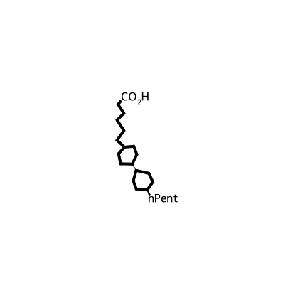 CCCCC[C@H]1CC[C@H](C2CCC(CCCCCC(=O)O)CC2)CC1